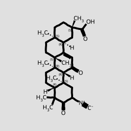 [C-]#[N+]C1C[C@]2(C)[C@H]3C(=O)C=C4[C@@H]5C[C@@](C)(C(=O)O)CC[C@]5(C)CC[C@@]4(C)[C@]3(C)CC[C@H]2C(C)(C)C1=O